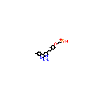 Cc1ccc2c(c1)nc(N)c1ncc(CCc3ccc(OCCCP(C)(=O)O)cc3C)cc12